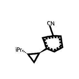 CC(C)[C@H]1C[C@@H]1c1cccc(C#N)c1